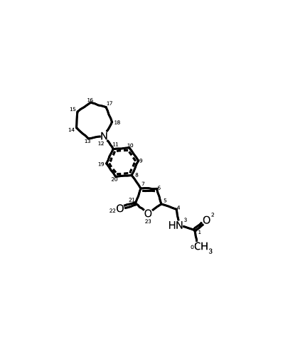 CC(=O)NCC1C=C(c2ccc(N3CCCCCC3)cc2)C(=O)O1